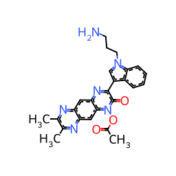 CC(=O)On1c(=O)c(-c2cn(CCCN)c3ccccc23)nc2cc3nc(C)c(C)nc3cc21